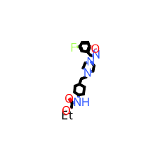 CCOCC(=O)NC1CCC(CCN2CCN(c3noc4ccc(F)cc34)CC2)CC1